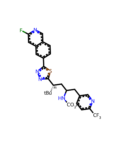 CC(C)(C)[C@@H](CC(Cc1ccc(C(F)(F)F)nc1)NC(=O)O)c1nnc(-c2ccc3cnc(F)cc3c2)s1